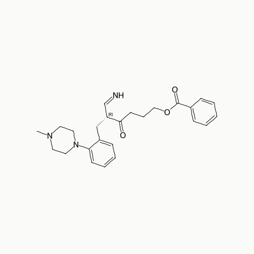 CN1CCN(c2ccccc2C[C@H](C=N)C(=O)CCCOC(=O)c2ccccc2)CC1